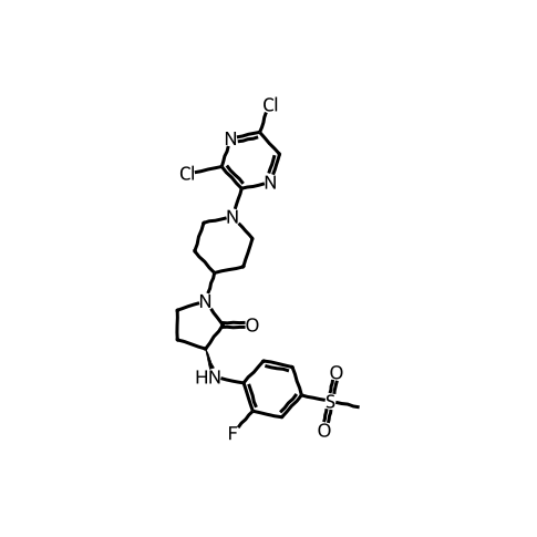 CS(=O)(=O)c1ccc(N[C@H]2CCN(C3CCN(c4ncc(Cl)nc4Cl)CC3)C2=O)c(F)c1